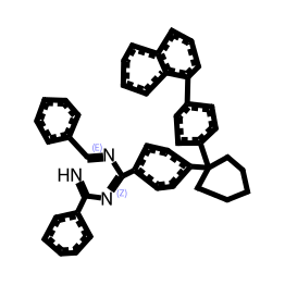 N=C(/N=C(\N=C\c1ccccc1)c1ccc(C2(c3ccc(-c4cccc5ccccc45)cc3)CCCCC2)cc1)c1ccccc1